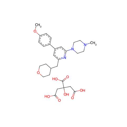 COc1ccc(-c2cc(CC3CCOCC3)nc(N3CCN(C)CC3)c2)cc1.O=C(O)CC(O)(CC(=O)O)C(=O)O